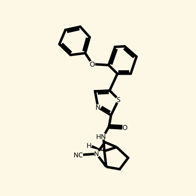 N#CN1CC2CCC1[C@@H]2NC(=O)c1ncc(-c2ccccc2Oc2ccccc2)s1